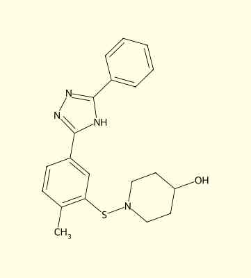 Cc1ccc(-c2nnc(-c3ccccc3)[nH]2)cc1SN1CCC(O)CC1